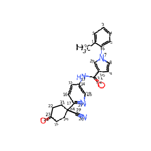 Cc1ccccc1-n1ccc(C(=O)Nc2ccc(C3(C#N)CCC(=O)CC3)nc2)c1